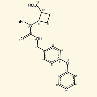 CCCN(C(=O)NCc1ccc(Oc2ccccc2)cc1)C1CCC1C(=O)O